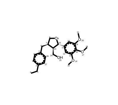 CCc1ccc(C[C@H]2CO[C@H](c3cc(OC)c(OC)c(OC)c3)[C@H]2CO)cc1